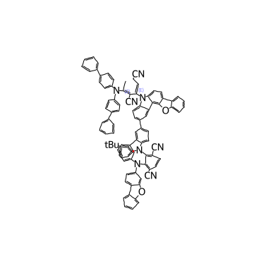 C/C(=C(C#N)\C(=C/CC#N)n1c2ccc(-c3ccc4c(c3)c3ccccc3n4-c3c(C#N)ccc(C#N)c3N(c3ccc(C(C)(C)C)cc3)c3ccc4c(c3)oc3ccccc34)cc2c2c3oc4ccccc4c3ccc21)N(c1ccc(-c2ccccc2)cc1)c1ccc(-c2ccccc2)cc1